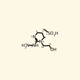 CS(=O)(=O)O.NNC1=NCCCN1CCO